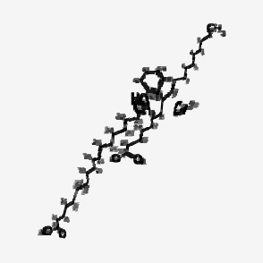 CCCCCCCCCCCCCCCCCC(=O)[O-].CCCCCCCCCCCCCCCCCC(=O)[O-].Oc1ccccc1.[Ca+2]